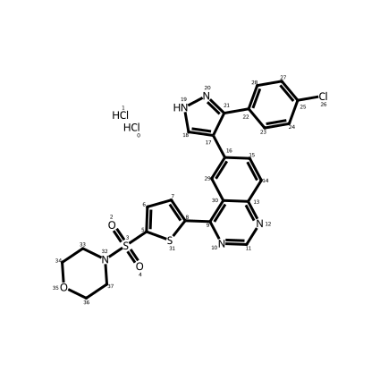 Cl.Cl.O=S(=O)(c1ccc(-c2ncnc3ccc(-c4c[nH]nc4-c4ccc(Cl)cc4)cc23)s1)N1CCOCC1